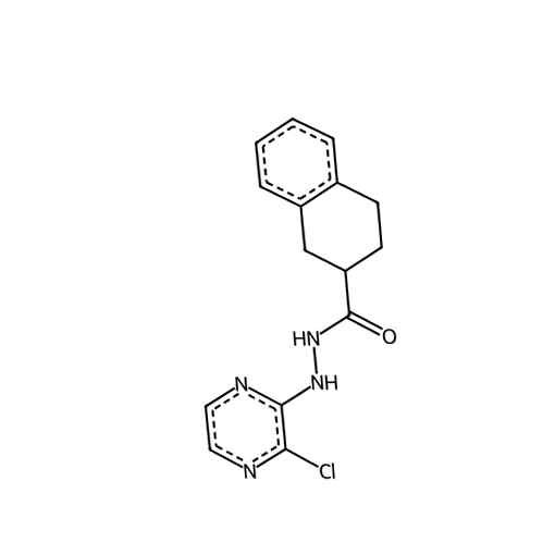 O=C(NNc1nccnc1Cl)C1CCc2ccccc2C1